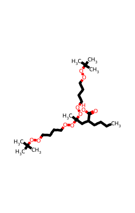 CCCCC(CC(C)(OOCCCCOOC(C)(C)C)OOCCCCOOC(C)(C)C)C(=O)O